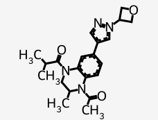 CC(=O)N1c2ccc(-c3cnn(C4COC4)c3)cc2N(C(=O)C(C)C)CC1C